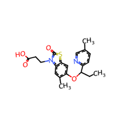 CCC(Oc1cc2sc(=O)n(CCC(=O)O)c2cc1C)c1ccc(C)cn1